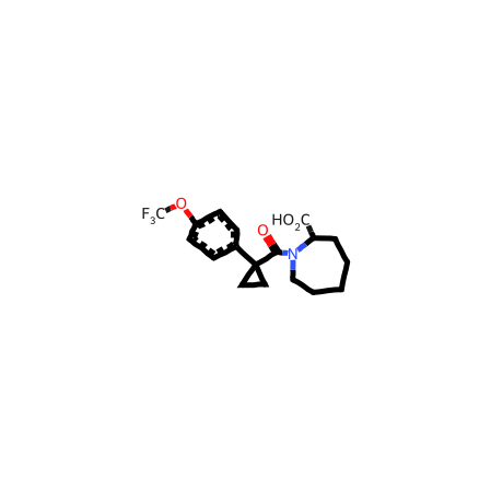 O=C(O)C1CCCCCN1C(=O)C1(c2ccc(OC(F)(F)F)cc2)CC1